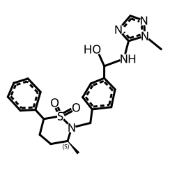 C[C@H]1CCC(c2ccccc2)S(=O)(=O)N1Cc1ccc(C(O)Nc2ncnn2C)cc1